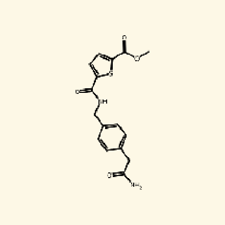 COC(=O)c1ccc(C(=O)NCc2ccc(CC(N)=O)cc2)s1